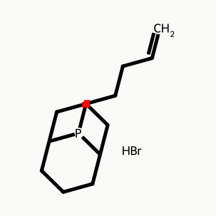 Br.C=CCCCP1C2CCCC1CCC2